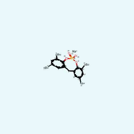 CCCCc1cc(CCCC)c2c(c1)Cc1cc(CCCC)cc(CCCC)c1OP(=O)([O-])O2.[Na+]